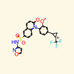 COc1cc(C2C[C@H]2C(F)(F)F)ccc1-n1c(=O)ccc2cc(S(=O)(=O)Nc3ccon3)ccc21